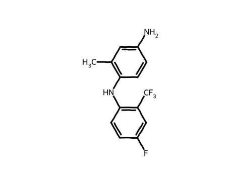 Cc1cc(N)ccc1Nc1ccc(F)cc1C(F)(F)F